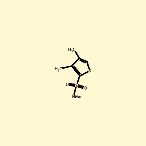 CNS(=O)(=O)c1scc(C)c1C